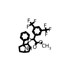 COC(=O)C(OC1CCC2CCC1(c1ccccc1)N2)c1cc(C(F)(F)F)cc(C(F)(F)F)c1